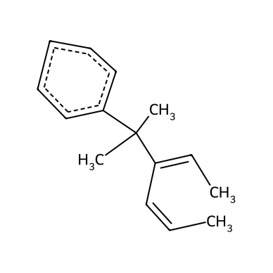 C/C=C\C(=C/C)C(C)(C)c1ccccc1